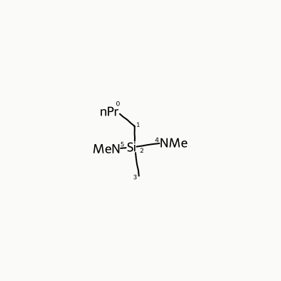 CCCC[Si](C)(NC)NC